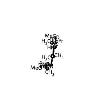 COC(=O)N[C@H](C(=O)N1C[C@@H](C)C[C@H]1c1ncc(C#Cc2cc(C)c(C#Cc3cnc([C@@H]4C[C@H](C)CN4C(=O)[C@@H](NC(=O)OC)C(C)C)[nH]3)cc2C)[nH]1)C(C)C